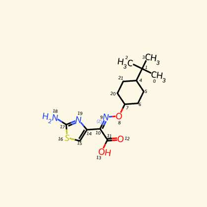 CC(C)(C)C1CCC(O/N=C(\C(=O)O)c2csc(N)n2)CC1